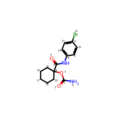 NC(=O)OC1(C(=O)Nc2ccc(Br)cc2)CCCCC1